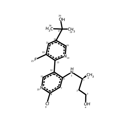 C[C@@H](CCO)Nc1cc(Cl)ncc1-c1ncc(C(C)(C)O)cc1F